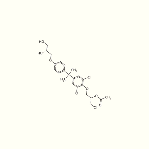 CC(=O)O[C@H](CCl)COc1c(Cl)cc(C(C)(C)c2ccc(OC[C@H](O)CO)cc2)cc1Cl